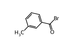 Cc1cccc(C(=O)Br)c1